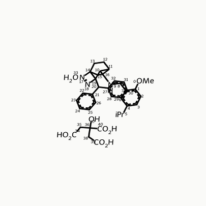 COc1ccc(C(C)C)cc1CNC1C2CCC3(CC2)N=NC13C(c1ccccc1)c1ccccc1.O.O=C(O)CC(O)(CC(=O)O)C(=O)O